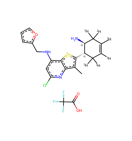 O=C(O)C(F)(F)F.[2H]C1=C([2H])C([2H])([2H])[C@H](c2sc3c(NCc4ccco4)cc(Cl)nc3c2C)[C@@H](N)C1([2H])[2H]